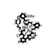 C=C/C(OCCN1CCN(C)CC1)=C(/Cl)Cc1cc(F)ccc1-c1cn2ncnc(N[C@H](Cc3ccccc3OCc3ccnc(-c4ccccc4OC)n3)C(=O)O)c2c1C